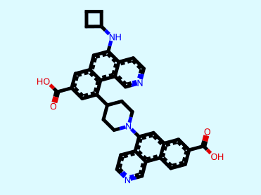 O=C(O)c1ccc2c(c1)cc(N1CCC(c3cc(C(=O)O)cc4cc(NC5CCC5)c5ccncc5c34)CC1)c1ccncc12